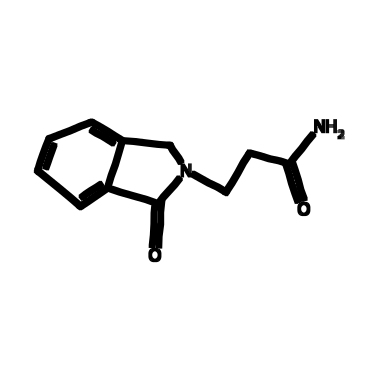 NC(=O)CCN1Cc2ccccc2C1=O